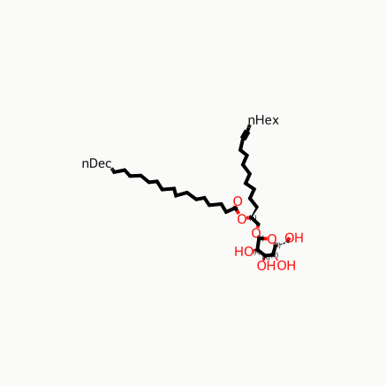 CCCCCCC#CCCCCCCCC[C@@H](CO[C@H]1O[C@H](CO)[C@H](O)[C@@H](O)[C@H]1O)OC(=O)CCCCCCCCCCCCCCCCCCCCCCCCC